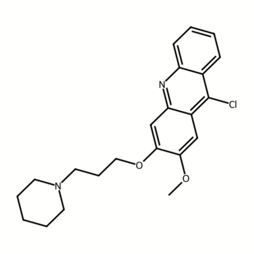 COc1cc2c(Cl)c3ccccc3nc2cc1OCCCN1CCCCC1